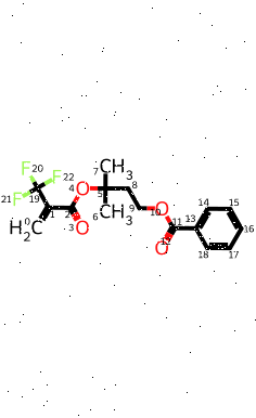 C=C(C(=O)OC(C)(C)CCOC(=O)c1ccccc1)C(F)(F)F